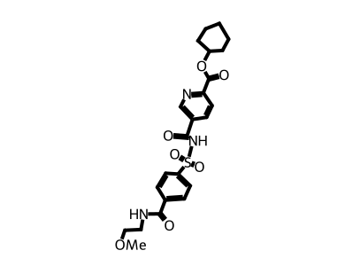 COCCNC(=O)c1ccc(S(=O)(=O)NC(=O)c2ccc(C(=O)OC3CCCCC3)nc2)cc1